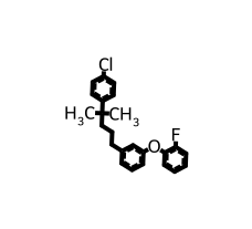 CC(C)(CCCc1cccc(Oc2ccccc2F)c1)c1ccc(Cl)cc1